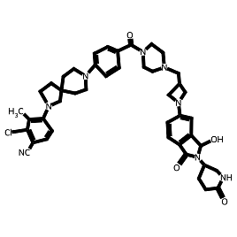 Cc1c(N2CCC3(CCN(c4ccc(C(=O)N5CCN(CC6CN(c7ccc8c(c7)C(O)N(C7CCC(=O)NC7)C8=O)C6)CC5)cc4)CC3)C2)ccc(C#N)c1Cl